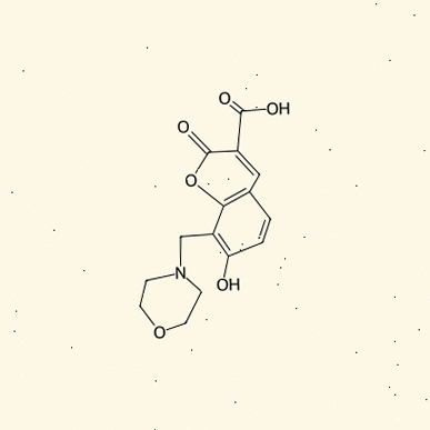 O=C(O)c1cc2ccc(O)c(CN3CCOCC3)c2oc1=O